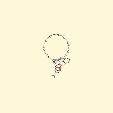 COc1ccc(C(C)C)cc1CN[C@H]1C2CCCCCCCCCCCCCCCCCCCCCN(CC2)[C@H]1C(c1ccccc1)c1ccccc1